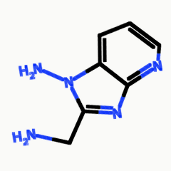 NCc1nc2ncccc2n1N